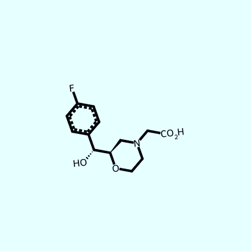 O=C(O)CN1CCO[C@@H]([C@H](O)c2ccc(F)cc2)C1